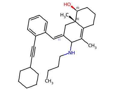 CCCCNC1C(C)=C2CCC[C@H](O)[C@@]2(C)C/C1=C\c1ccccc1C#CC1CCCCC1